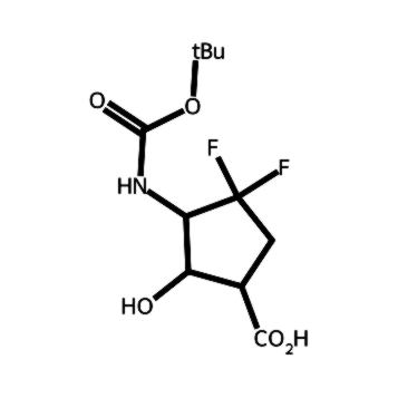 CC(C)(C)OC(=O)NC1C(O)C(C(=O)O)CC1(F)F